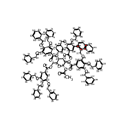 CC(=O)O[C@@H]1OC(COC(=O)c2cc(OCc3ccccc3)c(OCc3ccccc3)c(OCc3ccccc3)c2)[C@@H](OC(=O)c2cc(OCc3ccccc3)c(OCc3ccccc3)c(OCc3ccccc3)c2)[C@H](OC(=O)c2cc(OCc3ccccc3)c(OCc3ccccc3)c(OCc3ccccc3)c2)C1OC(=O)c1cc(OCc2ccccc2)c(OCc2ccccc2)c(OCc2ccccc2)c1